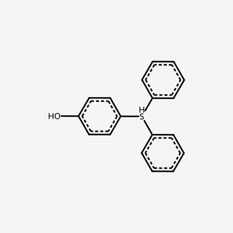 Oc1ccc([SH](c2ccccc2)c2ccccc2)cc1